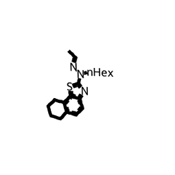 C/C=N/N(CCCCCC)c1nc2ccc3c(c2s1)CCCC3